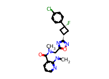 C=Nc1ncccc1C(=O)N(C)Cc1nc([C@H]2C[C@](F)(c3ccc(Cl)cc3)C2)no1